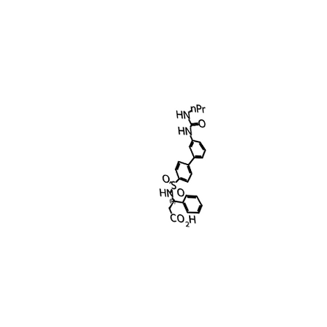 CCCNC(=O)Nc1cccc(-c2ccc(S(=O)(=O)N[C@H](CC(=O)O)c3ccccc3)cc2)c1